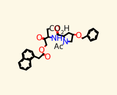 CC(=O)N1CC(OCc2ccccc2)CC1C(=O)NC(CC(=O)O)C(=O)COC(=O)Cc1cccc2ccccc12